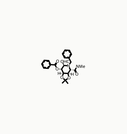 CNC(=O)[C@@H]1[C@H]2OC(C)(C)O[C@H]2[C@H](OC(=O)c2ccccc2)[C@@H](C=O)N1Cc1ccccc1